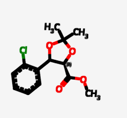 COC(=O)[C@@H]1OC(C)(C)OC1c1ccccc1Cl